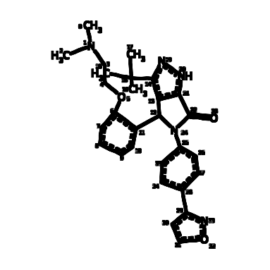 CN(C)CCOc1ccccc1C1c2c(C(C)(C)C)n[nH]c2C(=O)N1c1ccc(-c2ccon2)cc1